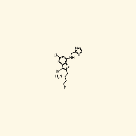 N[C@@H](CCF)Cc1sc2c(NCc3nccs3)cc(Cl)nc2c1Br